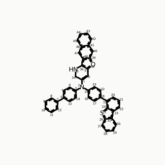 C1=C(N(c2ccc(-c3ccccc3)cc2)c2ccc(-c3cccc4c3sc3ccccc34)cc2)CNc2c1oc1cc3ccccc3cc21